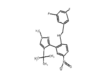 Cn1cc(C(C)(C)C)c(-c2cc([N+](=O)[O-])ccc2NCc2cc(F)cc(F)c2)n1